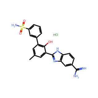 Cc1cc(-c2cccc(S(N)(=O)=O)c2)c(O)c(-c2nc3cc(C(=N)N)ccc3[nH]2)c1.Cl